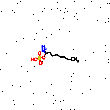 CCCCCCCC(N)OS(=O)(=O)O